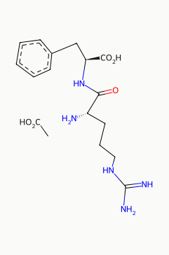 CC(=O)O.N=C(N)NCCC[C@H](N)C(=O)N[C@@H](Cc1ccccc1)C(=O)O